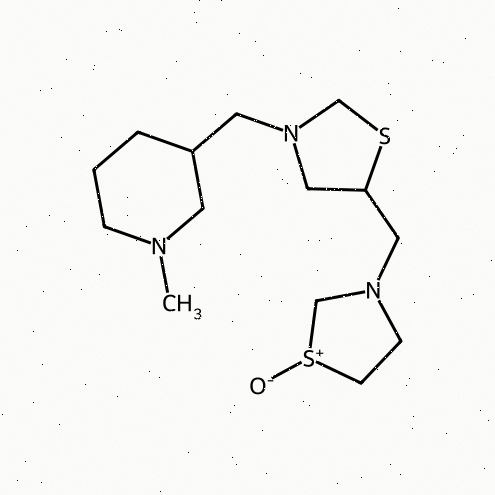 CN1CCCC(CN2CSC(CN3CC[S+]([O-])C3)C2)C1